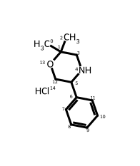 CC1(C)CNC(c2ccccc2)CO1.Cl